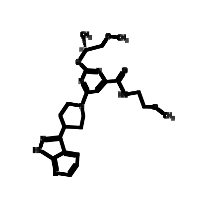 COCCNC(=O)c1cc(N2CCC(c3n[nH]c4ncccc34)CC2)nc(O[C@H](C)COC)n1